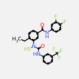 CCc1ccc(C(=O)Nc2ccc(F)c(F)c2)cc1N(S)C(=O)Nc1cccc(C(F)(F)F)c1